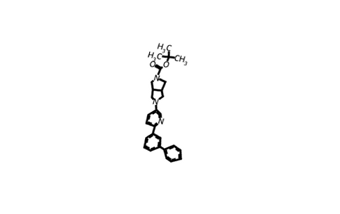 CC(C)(C)OC(=O)N1CC2CN(c3ccc(-c4cccc(-c5ccccc5)c4)nc3)CC2C1